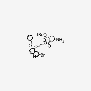 CC(C)(C)OC(=O)N1CC[C@H](N)C[C@H]1C(=O)OCCCOc1c(OCc2ccccc2)ccc2ncc(Br)cc12